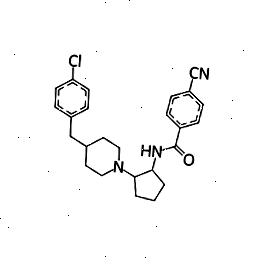 N#Cc1ccc(C(=O)NC2CCCC2N2CCC(Cc3ccc(Cl)cc3)CC2)cc1